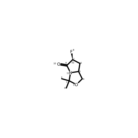 CC1(C)OCC2C[C@H](F)C(=O)N21